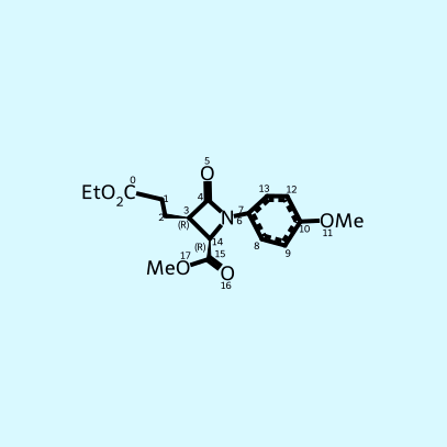 CCOC(=O)CC[C@H]1C(=O)N(c2ccc(OC)cc2)[C@H]1C(=O)OC